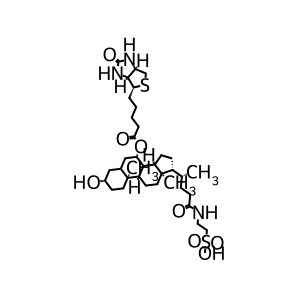 C[C@H](CCC(=O)NCCS(=O)(=O)O)[C@H]1CC[C@H]2C3[C@@H](OC(=O)CCCC[C@@H]4SC[C@@H]5NC(=O)N[C@H]54)CC4C[C@H](O)CC[C@]4(C)[C@H]3CC[C@]12C